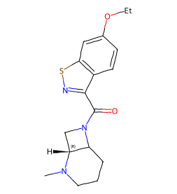 CCOc1ccc2c(C(=O)N3C[C@@H]4C3CCCN4C)nsc2c1